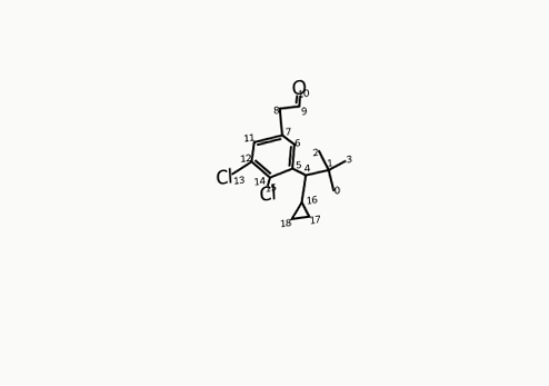 CC(C)(C)C(c1cc(CC=O)cc(Cl)c1Cl)C1CC1